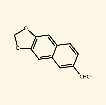 O=[C]c1ccc2cc3c(cc2c1)OCO3